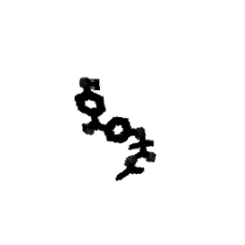 CC(C)OC(=O)C(C)(C)Oc1ccc(C(=O)c2ccc(O)cc2)cc1